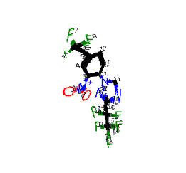 O=[N+]([O-])c1cc(C(F)(F)F)ccc1-n1cnc(C(F)(F)C(F)(F)F)n1